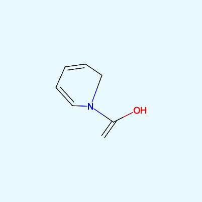 C=C(O)N1C=CC=CC1